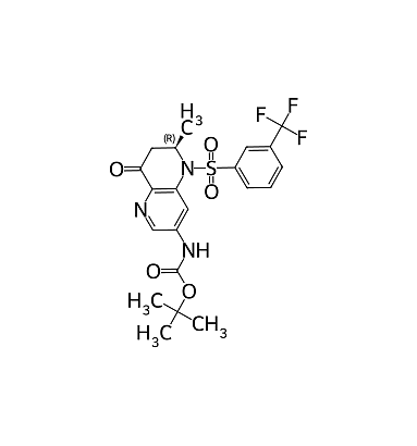 C[C@@H]1CC(=O)c2ncc(NC(=O)OC(C)(C)C)cc2N1S(=O)(=O)c1cccc(C(F)(F)F)c1